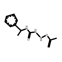 C=C(C)ONNC(=O)NC(C)c1ccccc1